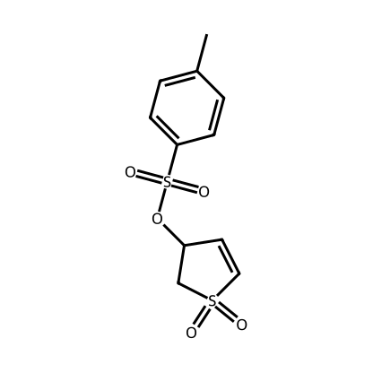 Cc1ccc(S(=O)(=O)OC2C=CS(=O)(=O)C2)cc1